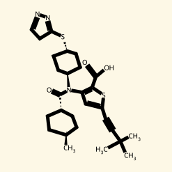 CC(C)(C)C#Cc1cc(N(C(=O)[C@H]2CC[C@H](C)CC2)[C@H]2CC[C@H](SC3=NN=CC3)CC2)c(C(=O)O)s1